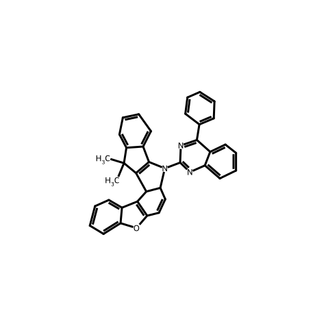 CC1(C)C2=C(c3ccccc31)N(c1nc(-c3ccccc3)c3ccccc3n1)C1C=Cc3oc4ccccc4c3C21